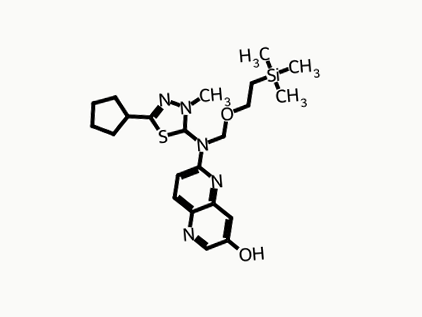 CN1N=C(C2CCCC2)SC1N(COCC[Si](C)(C)C)c1ccc2ncc(O)cc2n1